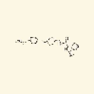 CCOC(=O)c1ccc(CCN2CCC(CNC(=O)c3nn(C(C)C)c4ccccc34)CC2)cc1